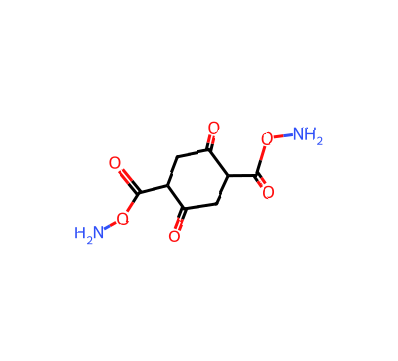 NOC(=O)C1CC(=O)C(C(=O)ON)CC1=O